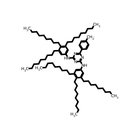 [CH2]c1ccc(-c2nc(Nc3cc(CCCCCCCCC)c(CCCCCCCCC)c(CCCCCCCCC)c3)nc(Nc3cc(CCCCCCCCC)c(CCCCCCCCC)c(CCCCCCCCC)c3)n2)cc1